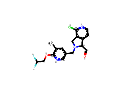 Cc1cc(CN2Cc3c(ccnc3Cl)C2C=O)cnc1OCC(F)F